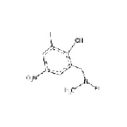 CCN(C)Cc1cc([N+](=O)[O-])cc(I)c1O